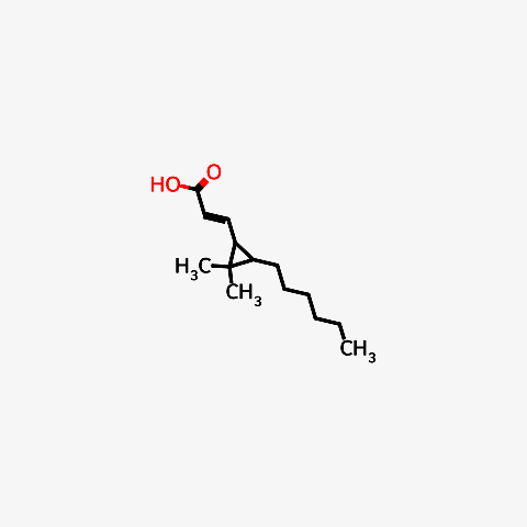 CCCCCCC1C(/C=C/C(=O)O)C1(C)C